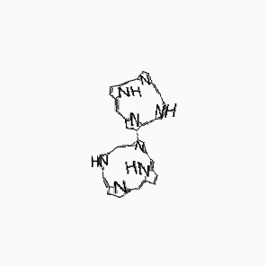 c1cc2cc3nc(cc4ccc(cc5nc(cc1[nH]2)CC5)[nH]4)C(C1Cc2cc4ccc(cc5nc(cc6ccc(cc1n2)[nH]6)CC5)[nH]4)C3